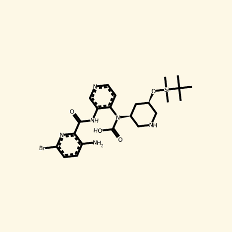 CC(C)(C)[Si](C)(C)O[C@H]1CNC[C@@H](N(C(=O)O)c2ccncc2NC(=O)c2nc(Br)ccc2N)C1